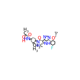 Cc1[nH]c2c(-c3cc(F)ccc3OCC3CC3)ncnc2c1C(=O)N[C@@H]1CC[C@@H](NC(=O)[C@H](C)O)C[C@H]1C